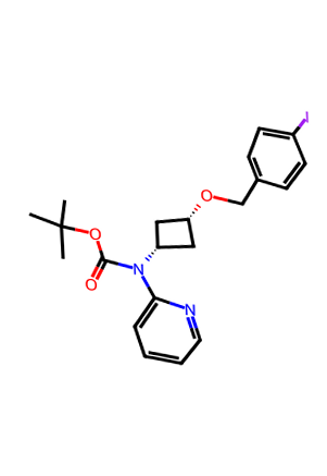 CC(C)(C)OC(=O)N(c1ccccn1)[C@H]1C[C@@H](OCc2ccc(I)cc2)C1